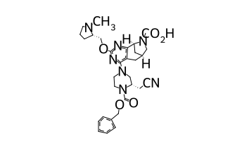 CN1CCC[C@H]1COc1nc2c(c(N3CCN(C(=O)OCc4ccccc4)[C@@H](CC#N)C3)n1)C[C@H]1C[C@@H]2N(C(=O)O)C1